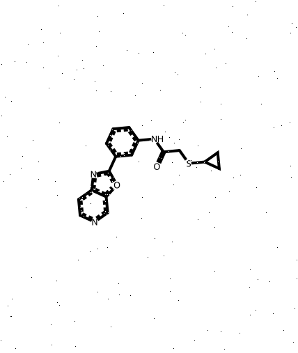 O=C(CSC1CC1)Nc1cccc(-c2nc3ccncc3o2)c1